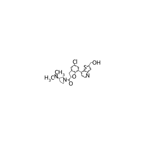 CN(C)[C@@H]1CCN(C(=O)[C@H]2Cc3cc(Cl)cc(-c4ccnc5cc(CO)sc45)c3O2)C1